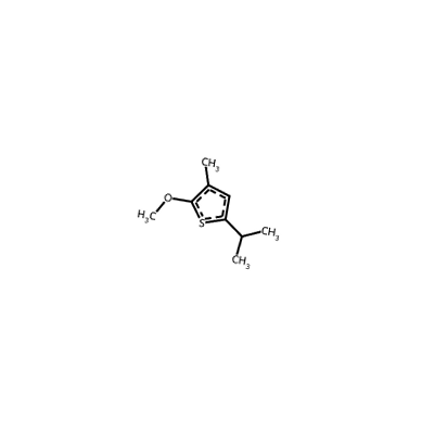 COc1sc(C(C)C)cc1C